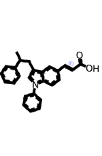 CC(Cc1cn(-c2ccccc2)c2ccc(/C=C/C(=O)O)cc12)c1ccccc1